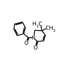 CC1(C)C=CC(=O)N(C(=O)c2ccccc2)C1